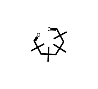 CC(C)(C=O)CC(C)(C)CC(C)(C)CC(C)(C)C=O